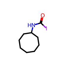 O=C(I)NC1CCCCCCC1